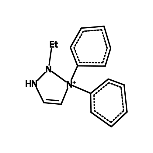 CCN1NC=C[N+]1(c1ccccc1)c1ccccc1